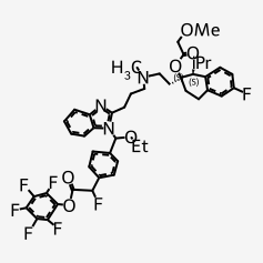 CCOC(c1ccc(C(F)C(=O)Oc2c(F)c(F)c(F)c(F)c2F)cc1)n1c(CCCN(C)CC[C@@]2(OC(=O)COC)CCc3cc(F)ccc3[C@@H]2C(C)C)nc2ccccc21